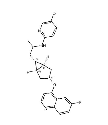 CC(C[C@@H]1[C@H]2C[C@H](Oc3ccnc4ccc(F)cc34)C[C@@H]12)Nc1ccc(Cl)cn1